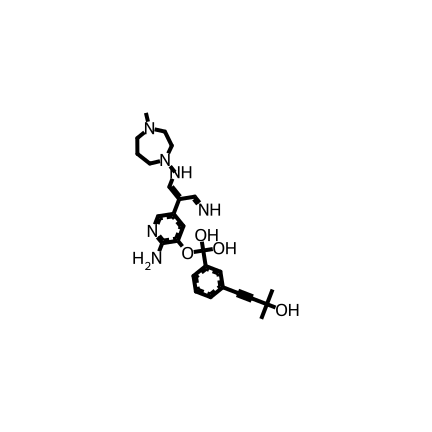 CN1CCCN(N/C=C(\C=N)c2cnc(N)c(OC(O)(O)c3cccc(C#CC(C)(C)O)c3)c2)CC1